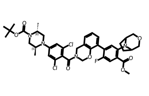 COC(=O)c1cc(F)c(-c2cccc3c2OCN(C(=O)c2c(Cl)cc(N4C[C@@H](C)N(C(=O)OC(C)(C)C)C[C@@H]4C)cc2Cl)C3)cc1N1C2CCC1COC2